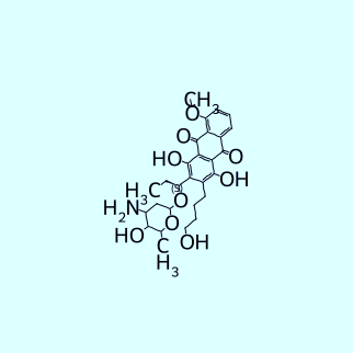 CC[C@H](OC1CC(N)C(O)C(C)O1)c1c(O)c2c(c(O)c1CCCCO)C(=O)c1cccc(OC)c1C2=O